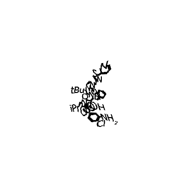 CC(C)CN(C[C@@H](O)[C@H](Cc1ccccc1)NC(=O)[C@@H](N1CCN(Cc2csc(-c3cccnc3)n2)C1=O)C(C)(C)C)S(=O)(=O)c1ccc(Cl)c(N)c1